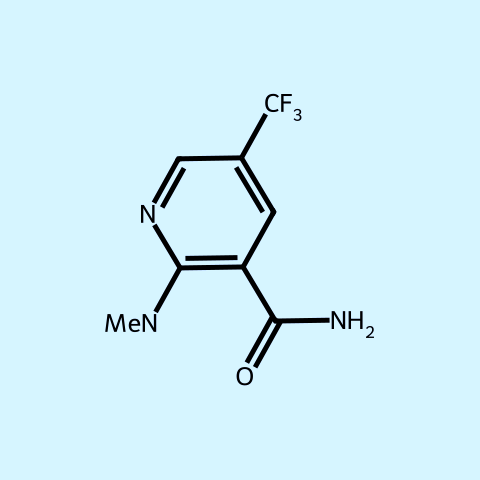 CNc1ncc(C(F)(F)F)cc1C(N)=O